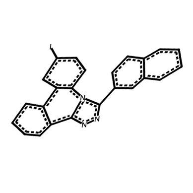 Ic1ccc2c(c1)c1ccccc1c1nnc(-c3ccc4ccccc4c3)n21